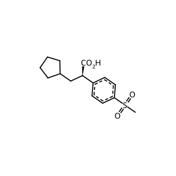 CS(=O)(=O)c1ccc([C@@H](CC2CCCC2)C(=O)O)cc1